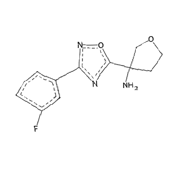 NC1(c2nc(-c3cccc(F)c3)no2)CCOC1